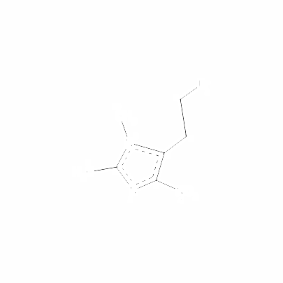 Cc1nc([N+](=O)[O-])c(CCBr)n1C